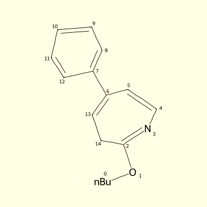 CCCCOC1=NC=CC(c2ccccc2)=CC1